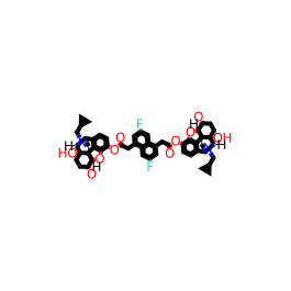 O=C(Cc1cc(F)cc2c(CC(=O)Oc3ccc4c5c3O[C@H]3C(=O)CC[C@@]6(O)[C@@H](C4)N(CC4CC4)CC[C@]536)cc(F)cc12)Oc1ccc2c3c1O[C@H]1C(=O)CC[C@@]4(O)[C@@H](C2)N(CC2CC2)CC[C@]314